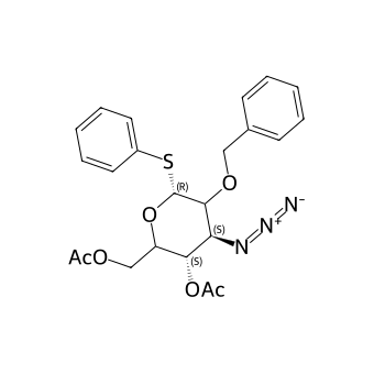 CC(=O)OCC1O[C@H](Sc2ccccc2)C(OCc2ccccc2)[C@@H](N=[N+]=[N-])[C@@H]1OC(C)=O